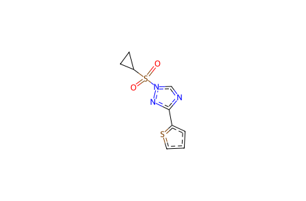 O=S(=O)(C1CC1)n1cnc(-c2cccs2)n1